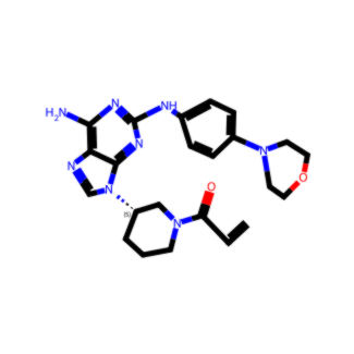 C=CC(=O)N1CCC[C@H](n2cnc3c(N)nc(Nc4ccc(N5CCOCC5)cc4)nc32)C1